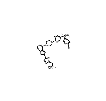 C[C@H](O)Cn1cc(-c2cc3c(N4CCN(c5ncc([C@@](C)(N)c6ccc(F)cc6)cn5)CC4)ncnn3c2)cn1